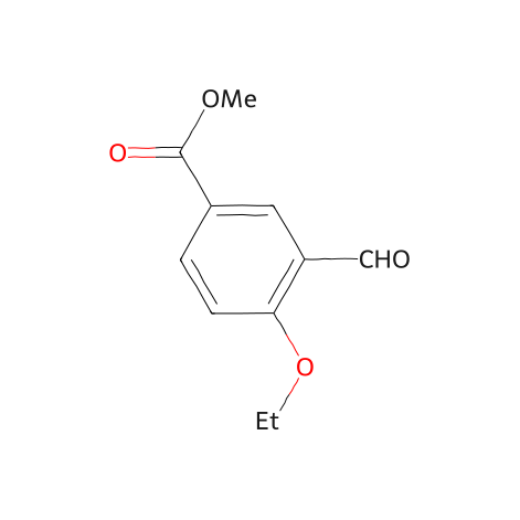 CCOc1ccc(C(=O)OC)cc1C=O